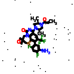 C=CC(=O)N1C[C@H](C)N(c2nc(=O)n3c4c(c(-c5cc(N)c(F)cc5F)c(C(F)(F)F)cc24)SCC2(COC2)C3)C[C@H]1C